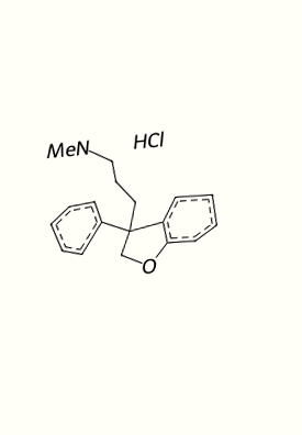 CNCCCC1(c2ccccc2)COc2ccccc21.Cl